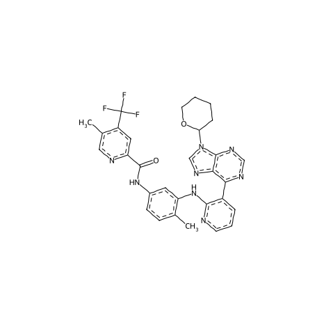 Cc1ccc(NC(=O)c2cc(C(F)(F)F)c(C)cn2)cc1Nc1ncccc1-c1ncnc2c1ncn2C1CCCCO1